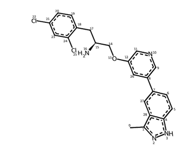 Cc1n[nH]c2ccc(-c3cncc(OC[C@@H](N)Cc4ccc(Cl)cc4Cl)c3)cc12